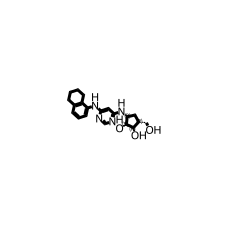 OC[C@H]1C[C@@H](Nc2cc(Nc3cccc4c3CCCC4)ncn2)[C@H](O)[C@@H]1O